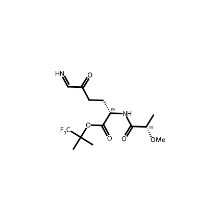 CO[C@@H](C)C(=O)N[C@@H](CCC(=O)C=N)C(=O)OC(C)(C)C(F)(F)F